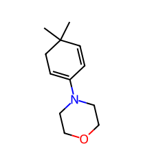 CC1(C)C=CC(N2CCOCC2)=CC1